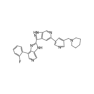 Fc1ccccc1-c1cncc2[nH]c(-c3n[nH]c4cnc(-c5cncc(CN6CCCCC6)c5)cc34)nc12